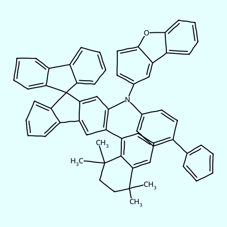 CC1(C)CCC(C)(C)c2c(-c3cc4c(cc3N(c3ccc(-c5ccccc5)cc3)c3ccc5oc6ccccc6c5c3)C3(c5ccccc5-c5ccccc53)c3ccccc3-4)cccc21